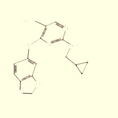 Cc1cnc(NCC2CC2)nc1Nc1ccc2c(c1)OCO2